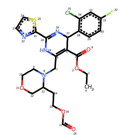 CCOC(=O)C1=C(CN2CCOCC2CCOC=O)NC(c2nccs2)=NC1c1ccc(F)cc1Cl